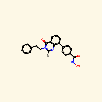 CCc1nc2c(-c3ccc(C(=O)NO)cc3)cccc2c(=O)n1CCc1ccccc1